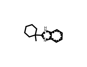 CC1(c2nc3ccccc3[nH]2)CCCCC1